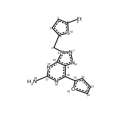 CCc1ccc(Cn2nnc3c(-c4ccco4)nc(N)nc32)s1